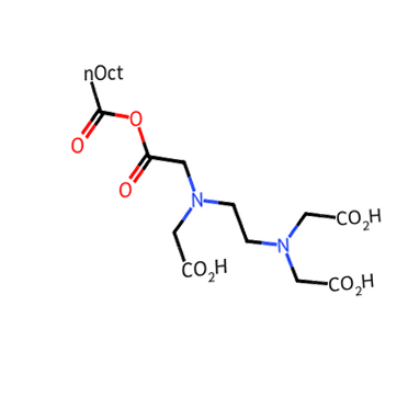 CCCCCCCCC(=O)OC(=O)CN(CCN(CC(=O)O)CC(=O)O)CC(=O)O